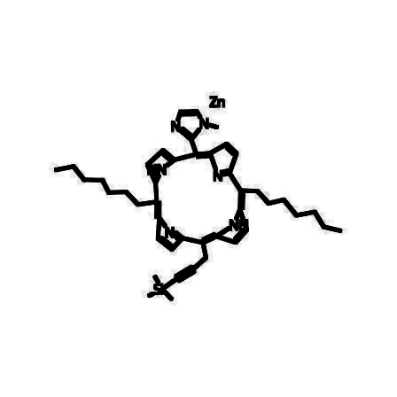 CCCCCCCc1c2nc(c(-c3nccn3C)c3ccc([nH]3)c(CCCCCCC)c3nc(c(CC#C[Si](C)(C)C)c4ccc1[nH]4)C=C3)C=C2.[Zn]